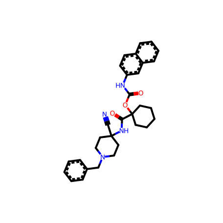 N#CC1(NC(=O)C2(OC(=O)Nc3ccc4ccccc4c3)CCCCC2)CCN(Cc2ccccc2)CC1